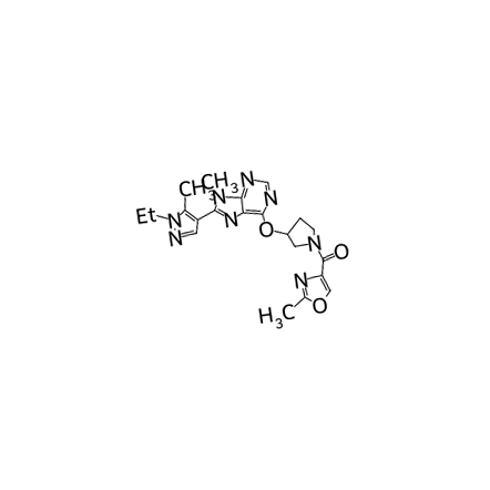 CCn1ncc(-c2nc3c(OC4CCN(C(=O)c5coc(C)n5)C4)ncnc3n2C)c1C